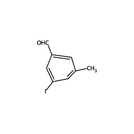 Cc1cc(I)cc(C=O)c1